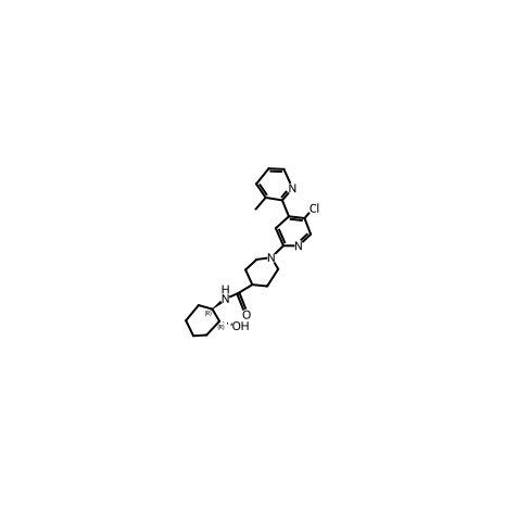 Cc1cccnc1-c1cc(N2CCC(C(=O)N[C@@H]3CCCC[C@H]3O)CC2)ncc1Cl